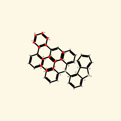 c1ccc(-c2ccccc2-c2c(-c3ccccc3)cccc2-c2cccc(N(c3ccccc3-c3ccccc3)c3cccc4oc5ccccc5c34)c2)cc1